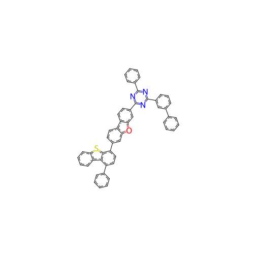 c1ccc(-c2cccc(-c3nc(-c4ccccc4)nc(-c4ccc5c(c4)oc4cc(-c6ccc(-c7ccccc7)c7c6sc6ccccc67)ccc45)n3)c2)cc1